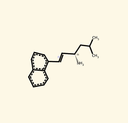 CC(C)C[C@H](N)/C=C/c1cccc2ccccc12